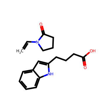 C=CN1CCCC1=O.O=C(O)CCCc1cc2ccccc2[nH]1